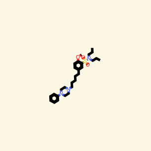 CCCN(CCC)S(=O)(=O)c1cc(CCCCCN2CCN(c3ccccc3)CC2)ccc1OC